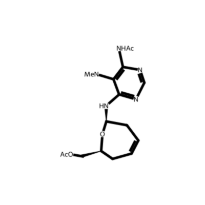 CNc1c(NC(C)=O)ncnc1N[C@H]1CC=CC[C@@H](COC(C)=O)O1